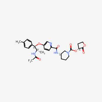 Cc1ccc([C@@H](Oc2ccc(C(=O)N[C@H]3CCCN(C(=O)O[C@@H]4CCOC4=O)C3)nc2)[C@H](C)NC(=O)C(F)(F)F)cc1